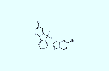 CCC1(CC)c2cc(Br)ccc2-c2cccc(-c3nc4ccc(Br)cc4s3)c21